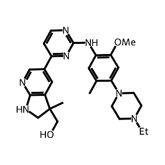 CCN1CCN(c2cc(OC)c(Nc3nccc(-c4cnc5c(c4)C(C)(CO)CN5)n3)cc2C)CC1